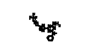 CN(c1ccccc1)c1nc(N)nc(-c2noc(C3CN(CC(F)(F)F)C3)n2)n1